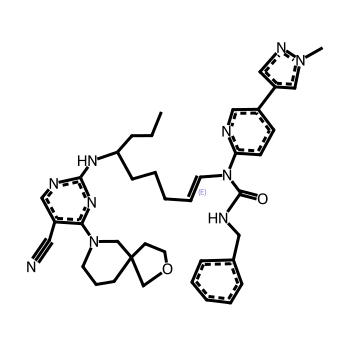 CCCC(CCC/C=C/N(C(=O)NCc1ccccc1)c1ccc(-c2cnn(C)c2)cn1)Nc1ncc(C#N)c(N2CCCC3(CCOC3)C2)n1